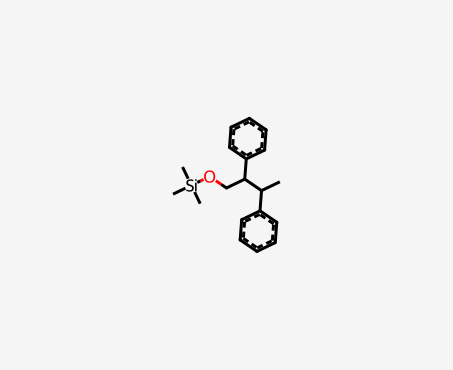 CC(c1ccccc1)C(CO[Si](C)(C)C)c1ccccc1